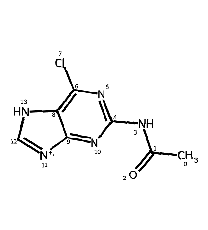 CC(=O)Nc1nc(Cl)c2c(n1)[N+]=CN2